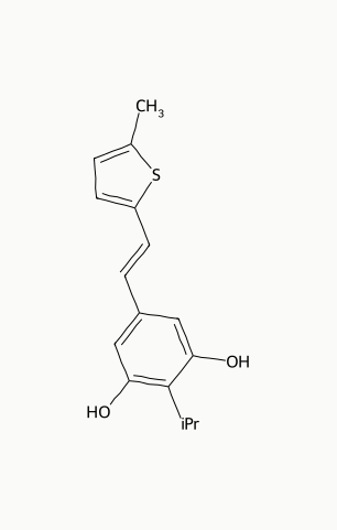 Cc1ccc(C=Cc2cc(O)c(C(C)C)c(O)c2)s1